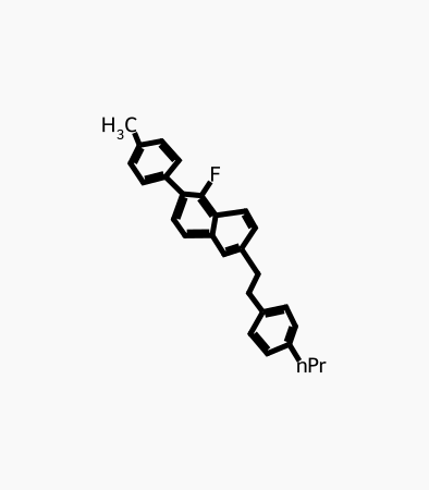 CCCc1ccc(CCc2ccc3c(F)c(-c4ccc(C)cc4)ccc3c2)cc1